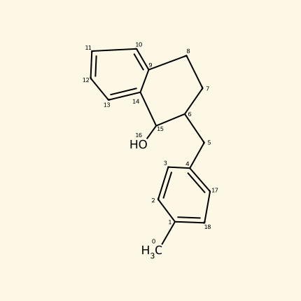 Cc1ccc(CC2CCc3ccccc3C2O)cc1